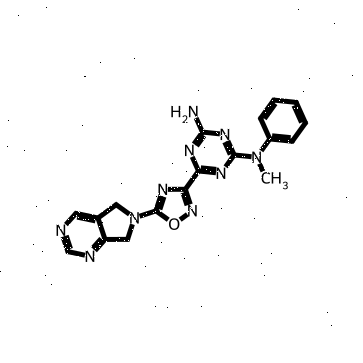 CN(c1ccccc1)c1nc(N)nc(-c2noc(N3Cc4cncnc4C3)n2)n1